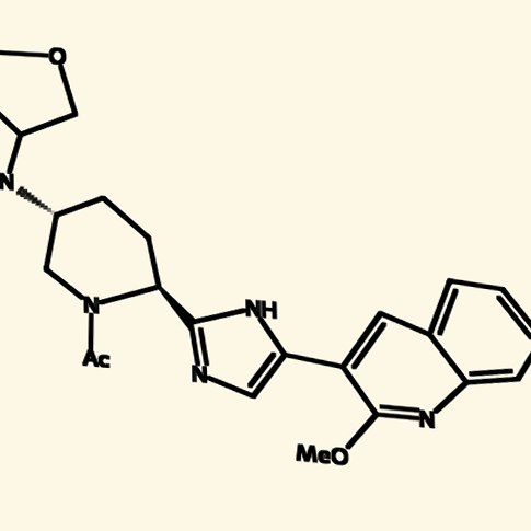 COc1nc2ccccc2cc1-c1cnc([C@@H]2CC[C@@H](NC3CCOC3)CN2C(C)=O)[nH]1